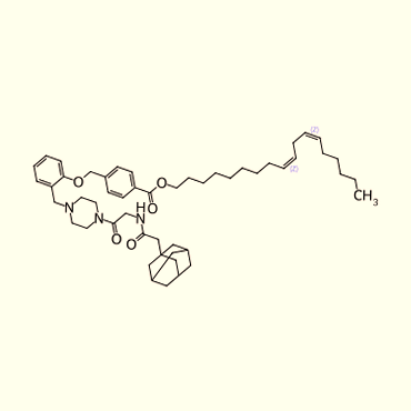 CCCCC/C=C\C/C=C\CCCCCCCCOC(=O)c1ccc(COc2ccccc2CN2CCN(C(=O)CNC(=O)CC34CC5CC(CC(C5)C3)C4)CC2)cc1